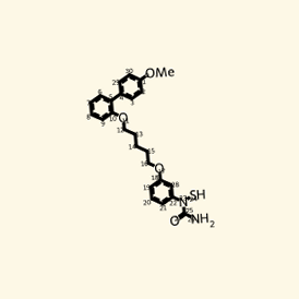 COc1ccc(-c2ccccc2OCCCCCOc2cccc(N(S)C(N)=O)c2)cc1